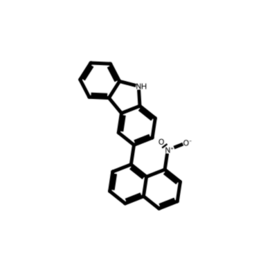 O=[N+]([O-])c1cccc2cccc(-c3ccc4[nH]c5ccccc5c4c3)c12